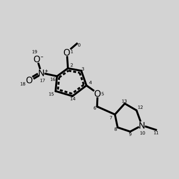 COc1cc(OCC2CCN(C)CC2)ccc1[N+](=O)[O-]